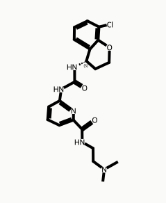 CN(C)CCNC(=O)c1cccc(NC(=O)N[C@H]2CCOc3c(Cl)cccc32)n1